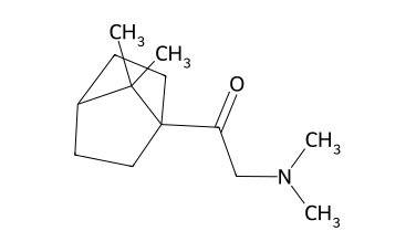 CN(C)CC(=O)C12CCC(CC1)C2(C)C